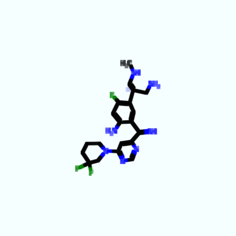 CN/C=C(\CN)c1cc(C(=N)c2cc(N3CCCC(F)(F)C3)ncn2)c(N)cc1F